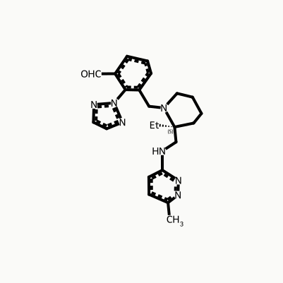 CC[C@@]1(CNc2ccc(C)nn2)CCCCN1Cc1cccc(C=O)c1-n1nccn1